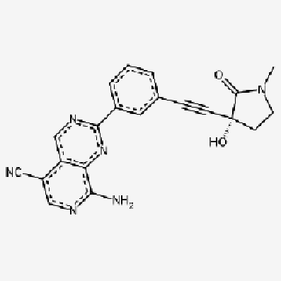 CN1CC[C@@](O)(C#Cc2cccc(-c3ncc4c(C#N)cnc(N)c4n3)c2)C1=O